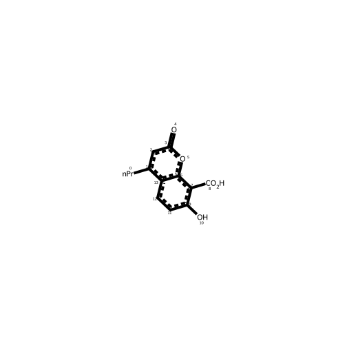 CCCc1cc(=O)oc2c(C(=O)O)c(O)ccc12